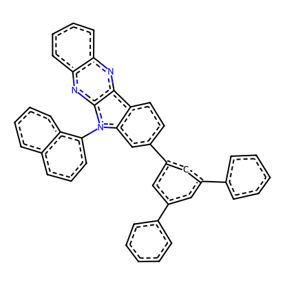 c1ccc(-c2cc(-c3ccccc3)cc(-c3ccc4c5nc6ccccc6nc5n(-c5cccc6ccccc56)c4c3)c2)cc1